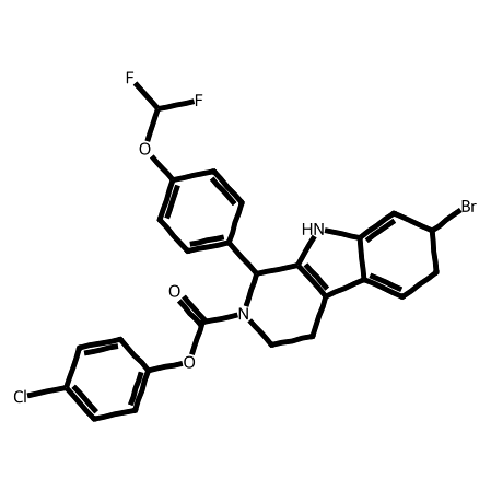 O=C(Oc1ccc(Cl)cc1)N1CCc2c([nH]c3c2=CCC(Br)C=3)C1c1ccc(OC(F)F)cc1